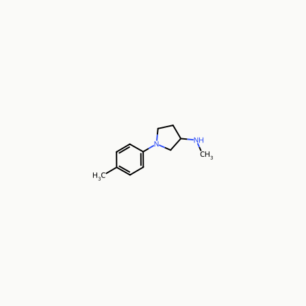 CNC1CCN(c2ccc(C)cc2)C1